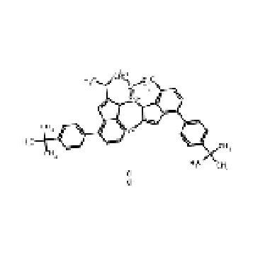 CC1=Cc2c(-c3ccc(C(C)(C)C)cc3)ccc(C)c2[CH]1[Zr+2]([CH]1C(C(C)C)=Cc2c(-c3ccc(C(C)(C)C)cc3)cccc21)=[Si](C)C.[Cl-].[Cl-]